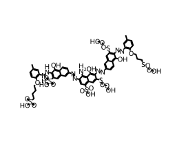 Cc1ccc(OCCCSOOO)c(N=Nc2c(SOOO)cc3cc(N=Nc4c(SOOO)cc5c(S(=O)(=O)O)cc(N=Nc6ccc7c(O)c(NNc8cc(C)ccc8OCCCCS(=O)(=O)O)c(S(=O)(=O)O)cc7c6)c(N)c5c4O)ccc3c2O)c1